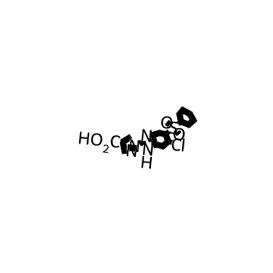 O=C(O)c1cnn(-c2nc3cc(S(=O)(=O)c4ccccc4)c(Cl)cc3[nH]2)c1